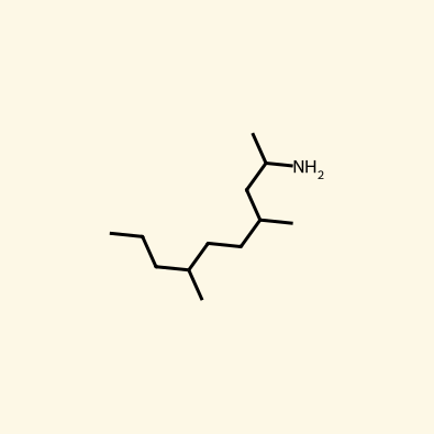 CCCC(C)CCC(C)CC(C)N